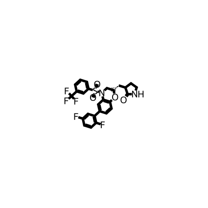 O=C1NCCC1C[C@H]1CN(S(=O)(=O)c2cccc(C(F)(F)F)c2)c2cc(-c3cc(F)ccc3F)ccc2O1